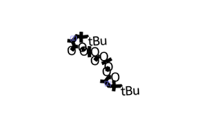 C/C(=C/C(C)(C)CC(C)(C)C)C(=O)OOC(C)(C)OC(=O)OC(C)(C)OOC(=O)/C(C)=C\C(C)(C)CC(C)(C)C